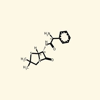 CC1(C)CN2C(=O)[C@@H](NC(=O)[C@@H](N)c3ccccc3)[C@H]2S1